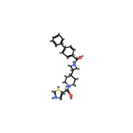 O=C(c1ccc(-c2ccccc2)cc1)N1CC(C2CCN(C(=O)c3cncs3)CC2)C1